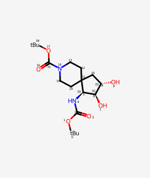 CC(C)(C)OC(=O)N[C@@H]1[C@H](O)[C@@H](O)CC12CCN(C(=O)OC(C)(C)C)CC2